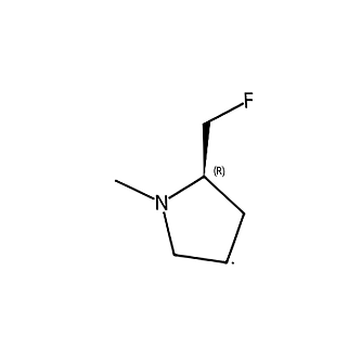 CN1C[CH]C[C@@H]1CF